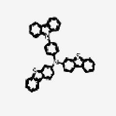 c1ccc2c(c1)sc1cc(N(c3ccc(-n4c5ccccc5c5ccccc54)cc3)c3ccc4c(c3)sc3ccccc34)ccc12